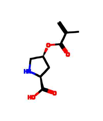 C=C(C)C(=O)O[C@H]1CN[C@H](C(=O)O)C1